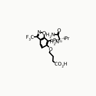 CC(C)[C@H](N)C(N)=O.CCCc1c(OCCCC(=O)O)ccc2c(C(F)(F)F)noc12